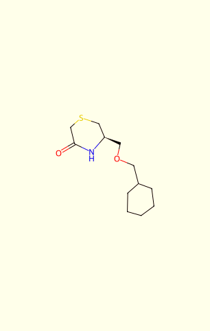 O=C1CSC[C@@H](COCC2CCCCC2)N1